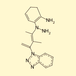 C=C(/C(C)=C(\C)N(N)C1=C(N)CCC=C1)n1nnc2ccccc21